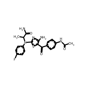 CC(=O)Nc1ccc(C(=O)c2sc(N(c3ccc(F)cc3)C(C)C(N)=O)nc2N)cc1